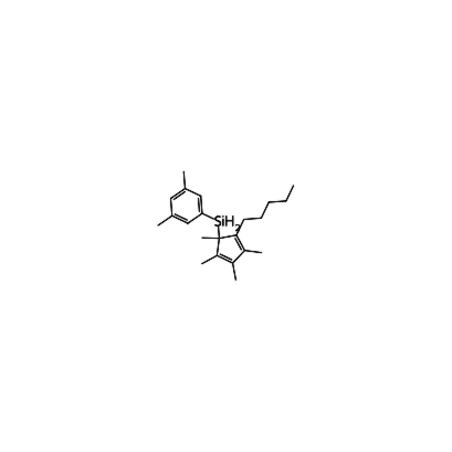 CCCCCC1=C(C)C(C)=C(C)C1(C)[SiH2]c1cc(C)cc(C)c1